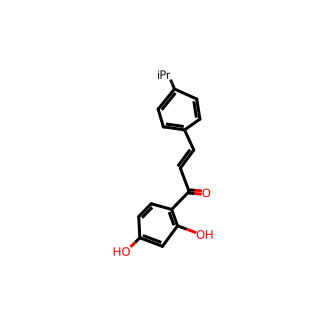 CC(C)c1ccc(C=CC(=O)c2ccc(O)cc2O)cc1